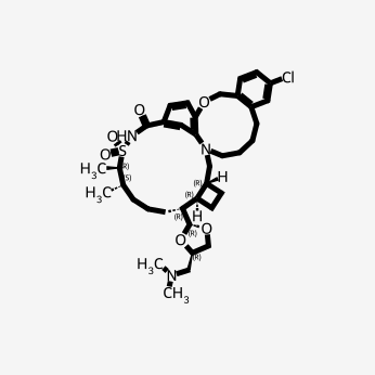 C[C@@H]1[C@@H](C)CCC[C@@H]([C@@H]2OC[C@@H](CN(C)C)O2)[C@@H]2CC[C@H]2CN2CCCCc3cc(Cl)ccc3COc3ccc(cc32)C(=O)NS1(=O)=O